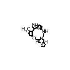 Cc1ccc2cc1-c1cnn3ccc(nc13)NCCN1C[C@@H]3CCCN3C[C@H]1CO2